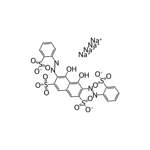 O=S(=O)([O-])c1ccccc1N=Nc1c(S(=O)(=O)[O-])cc2cc(S(=O)(=O)[O-])c(N=Nc3ccccc3S(=O)(=O)[O-])c(O)c2c1O.[Na+].[Na+].[Na+].[Na+]